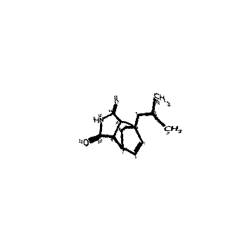 CC(C)CC12C=CC(C1)C1C(=O)NC(=O)C12